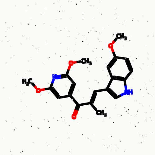 COc1ccc2[nH]cc(/C=C(\C)C(=O)c3cc(OC)nc(OC)c3)c2c1